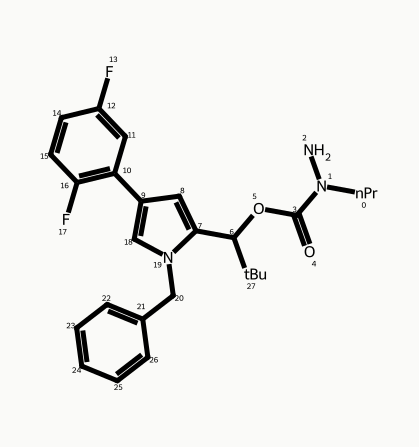 CCCN(N)C(=O)OC(c1cc(-c2cc(F)ccc2F)cn1Cc1ccccc1)C(C)(C)C